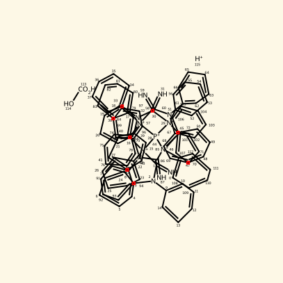 N=C(N(c1ccccc1)c1ccccc1)[N+](c1ccccc1)(c1ccccc1)[P+]([N+](C(=N)N(c1ccccc1)c1ccccc1)(c1ccccc1)c1ccccc1)([N+](C(=N)N(c1ccccc1)c1ccccc1)(c1ccccc1)c1ccccc1)[N+](C(=N)N(c1ccccc1)c1ccccc1)(c1ccccc1)c1ccccc1.O=C(O)O.[H+]